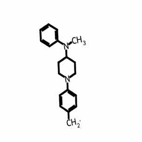 [CH2]c1ccc(N2CCC(N(C)c3ccccc3)CC2)cc1